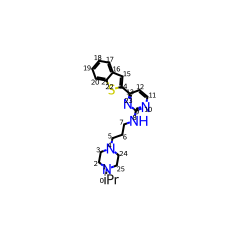 CC(C)N1CCN(CCCNc2nccc(-c3cc4ccccc4s3)n2)CC1